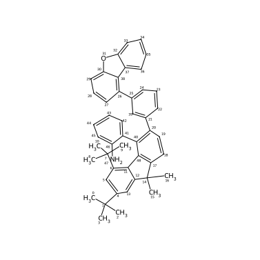 CC(C)(C)c1cc(C(C)(C)C)c2c(c1)C(C)(C)c1ccc(-c3cccc(-c4cccc5oc6ccccc6c45)c3)c(-c3ccccc3N)c1-2